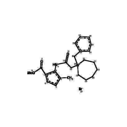 COC(=O)c1scc(C)c1NC(=O)C[N+]1(Cc2ccccc2)CCCCCC1.[Br-]